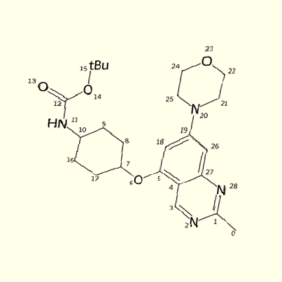 Cc1ncc2c(OC3CCC(NC(=O)OC(C)(C)C)CC3)cc(N3CCOCC3)cc2n1